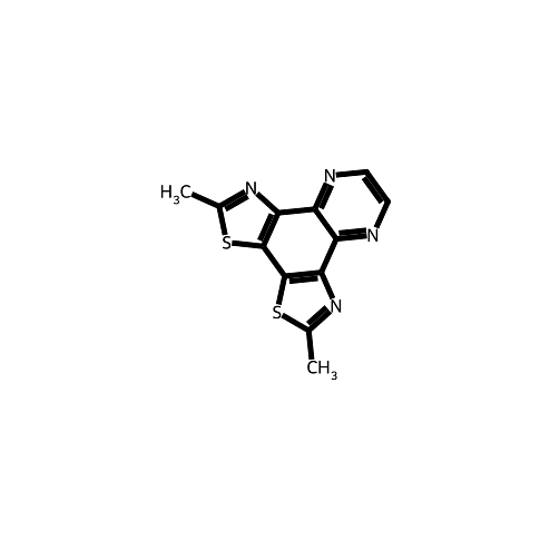 Cc1nc2c3nccnc3c3nc(C)sc3c2s1